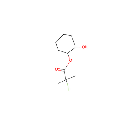 CC(C)(F)C(=O)OC1CCCCC1O